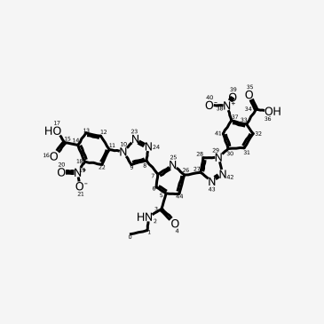 CCNC(=O)c1cc(-c2cn(-c3ccc(C(=O)O)c([N+](=O)[O-])c3)nn2)nc(-c2cn(-c3ccc(C(=O)O)c([N+](=O)[O-])c3)nn2)c1